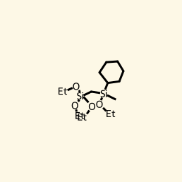 CCO[Si](C[Si](C)(OCC)C1CCCCC1)(OCC)OCC